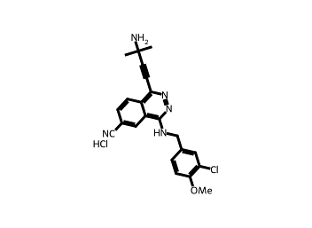 COc1ccc(CNc2nnc(C#CC(C)(C)N)c3ccc(C#N)cc23)cc1Cl.Cl